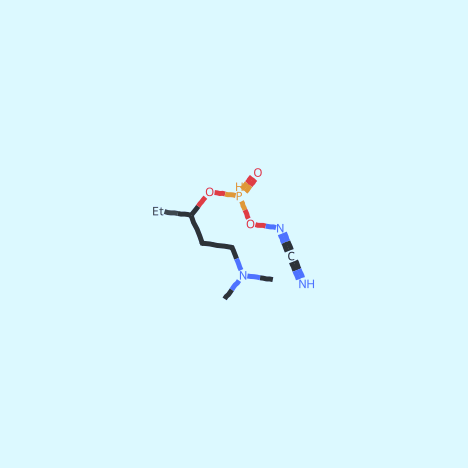 CCC(CCN(C)C)O[PH](=O)ON=C=N